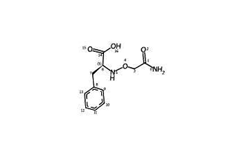 NC(=O)CON[C@@H](Cc1ccccc1)C(=O)O